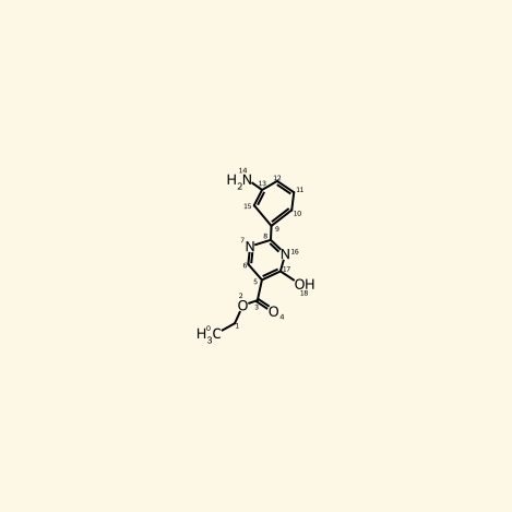 CCOC(=O)c1cnc(-c2cccc(N)c2)nc1O